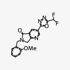 COc1ccccc1CN1Cc2ncc(-c3nnc(C(F)F)o3)cc2C1=O